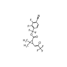 CC1(C)C(C=C(Cl)C(F)(F)F)C1C(=O)OC(F)(F)c1ccc(C#N)c(F)c1F